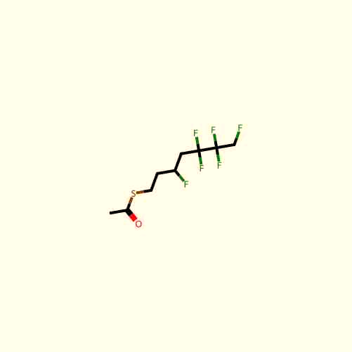 CC(=O)SCCC(F)CC(F)(F)C(F)(F)CF